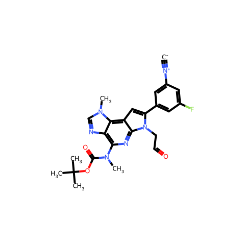 [C-]#[N+]c1cc(F)cc(-c2cc3c4c(ncn4C)c(N(C)C(=O)OC(C)(C)C)nc3n2CC=O)c1